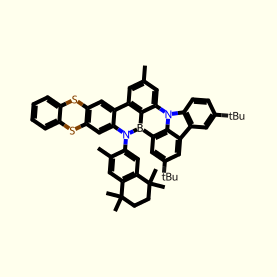 Cc1cc2c3c(c1)-n1c4ccc(C(C)(C)C)cc4c4cc(C(C)(C)C)cc(c41)B3N(c1cc3c(cc1C)C(C)(C)CCC3(C)C)c1cc3c(cc1-2)Sc1ccccc1S3